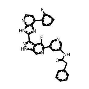 O=C(Cc1ccccc1)Nc1cncc(-c2ncc3[nH]nc(-c4nc5c(-c6ccccc6F)ccnc5[nH]4)c3c2F)c1